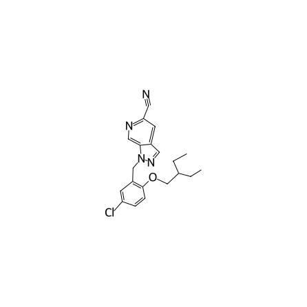 CCC(CC)COc1ccc(Cl)cc1Cn1ncc2cc(C#N)ncc21